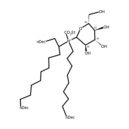 CCCCCCCCCCCCCCCCCCC(CCCCCCCCCCC)[N+](CCCCCCCCCCCCCCCCCC)(C(=O)OCC)C1O[C@H](CO)[C@@H](O)[C@H](O)[C@H]1O